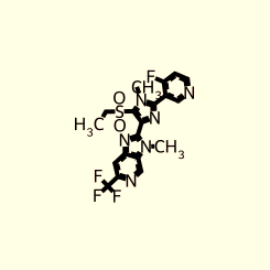 CCS(=O)(=O)c1c(-c2nc3cc(C(F)(F)F)ncc3n2C)nc(-c2cnccc2F)n1C